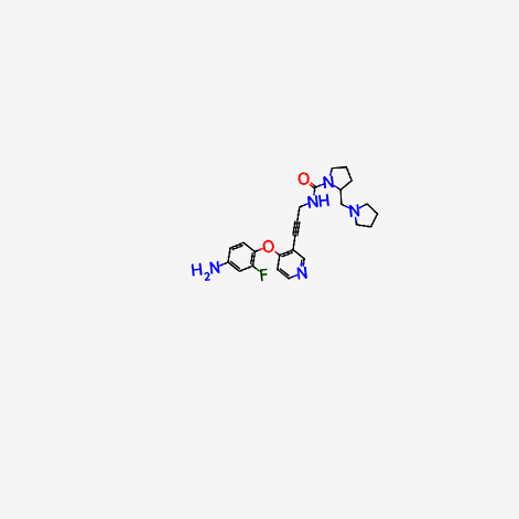 Nc1ccc(Oc2ccncc2C#CCNC(=O)N2CCCC2CN2CCCC2)c(F)c1